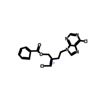 O=C(OC/C(=C\Cl)CCn1cnc2c(Cl)ncnc21)c1ccccc1